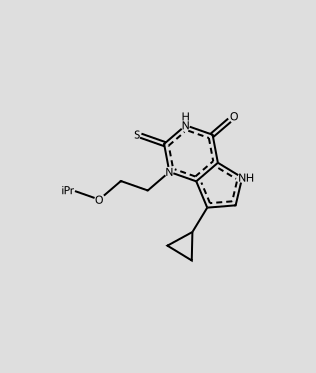 CC(C)OCCn1c(=S)[nH]c(=O)c2[nH]cc(C3CC3)c21